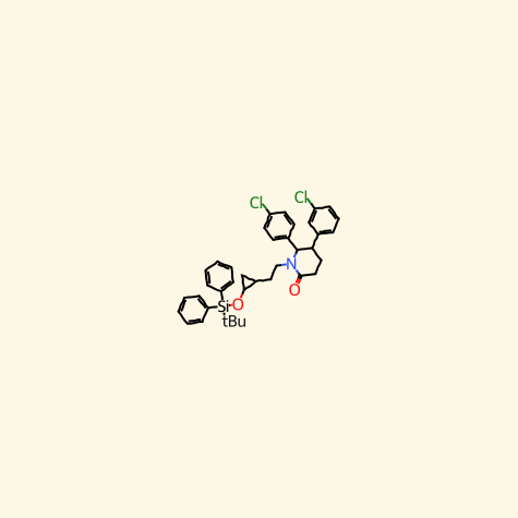 CC(C)(C)[Si](OC1CC1CCN1C(=O)CCC(c2cccc(Cl)c2)C1c1ccc(Cl)cc1)(c1ccccc1)c1ccccc1